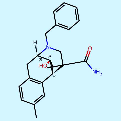 Cc1ccc2c(c1)[C@]13CCN(Cc4ccccc4)[C@H](C2)[C@]1(O)CC(C(N)=O)C3